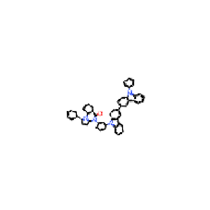 O=c1c2ccccc2n2c(-c3ccccc3)ccc2n1-c1cccc(-n2c3ccccc3c3cc(-c4ccc5c(c4)c4ccccc4n5-c4ccccc4)ccc32)c1